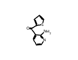 Nc1ncccc1C(=O)c1cccs1